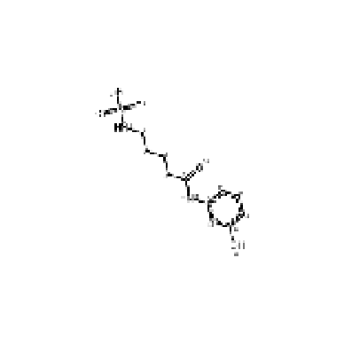 CC(C)S(=O)(=O)NCCCCC(=O)Nc1cccc(O)c1